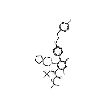 Cc1nc(C)c([C@H](OC(C)(C)C)C(=O)OC(C)C)c(N2CCC3(CCCC3)CC2)c1-c1ccc(OCCc2ccc(F)cc2)cc1